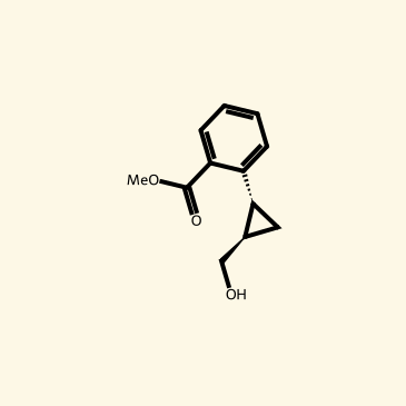 COC(=O)c1ccccc1[C@@H]1C[C@H]1CO